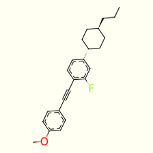 CCC[C@H]1CC[C@H](c2ccc(C#Cc3ccc(OC)cc3)c(F)c2)CC1